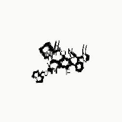 N#Cc1c2c(-c3c(Cl)c4c5c(nc(OCC67CCCN6CCC7)nc5c3F)N3CC5CCC(N5)[C@H]3CO4)cccc2n2cc[nH]c12